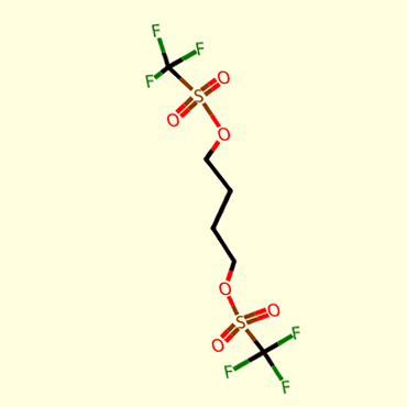 O=S(=O)(OCCCCOS(=O)(=O)C(F)(F)F)C(F)(F)F